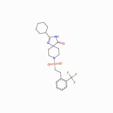 O=C1NC(C2CCCCC2)=NC12CCN(S(=O)(=O)CCc1ccccc1C(F)(F)F)CC2